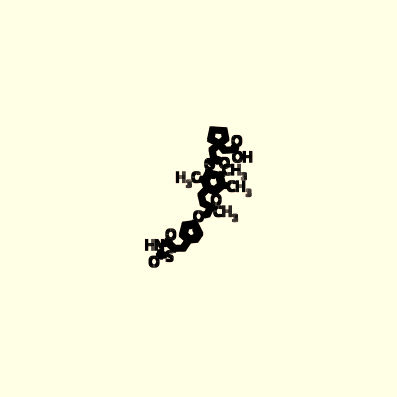 Cc1c(C)c2c(c(C)c1OC(=O)CC1(CC(=O)O)CCCC1)CCC(C)(COc1ccc(CC3SC(=O)NC3=O)cc1)O2